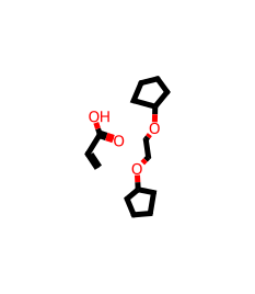 C1CCC(OCCOC2CCCC2)C1.C=CC(=O)O